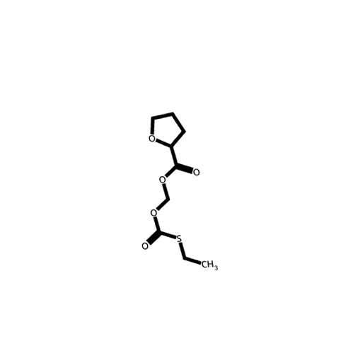 CCSC(=O)OCOC(=O)C1CCCO1